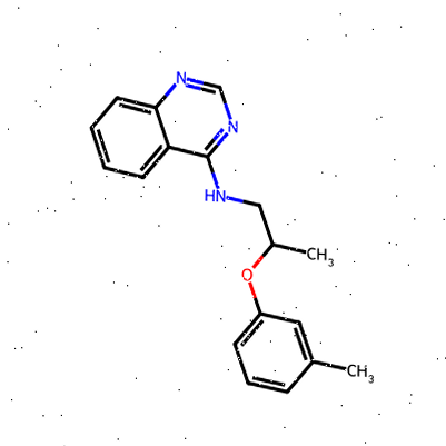 Cc1cccc(OC(C)CNc2ncnc3ccccc23)c1